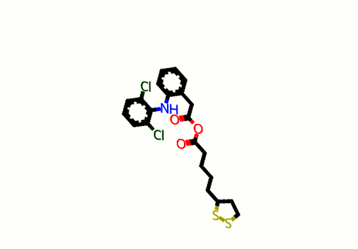 O=C(CCCCC1CCSS1)OC(=O)Cc1ccccc1Nc1c(Cl)cccc1Cl